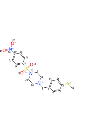 CSc1ccc(CN2CCN(S(=O)(=O)c3ccc([N+](=O)[O-])cc3)CC2)cc1